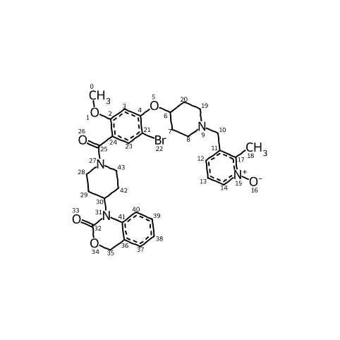 COc1cc(OC2CCN(Cc3ccc[n+]([O-])c3C)CC2)c(Br)cc1C(=O)N1CCC(N2C(=O)OCc3ccccc32)CC1